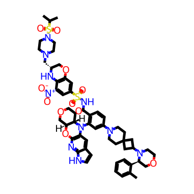 Cc1ccccc1[C@@H]1COCCN1C1CC2(CCN(c3ccc(C(=O)NS(=O)(=O)c4cc5c(c([N+](=O)[O-])c4)N[C@H](CN4CCN(S(=O)(=O)C(C)C)CC4)CO5)c(N4c5cc6cc[nH]c6nc5O[C@H]5COCC[C@@H]54)c3)CC2)C1